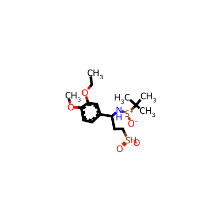 CCOc1cc(C(CC[SH](=O)=O)N[S+]([O-])C(C)(C)C)ccc1OC